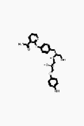 NC(=O)c1cccnc1Oc1ccc(C[C@@H](CO)NC[C@H](O)COc2ccc(O)cc2)cc1